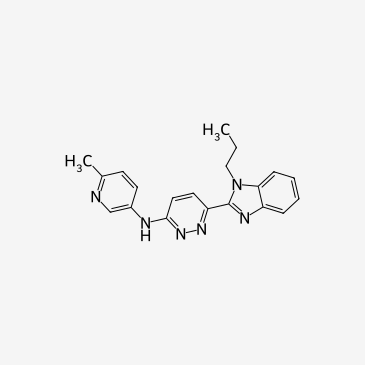 CCCn1c(-c2ccc(Nc3ccc(C)nc3)nn2)nc2ccccc21